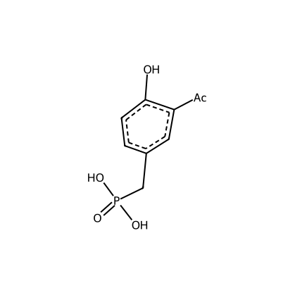 CC(=O)c1cc(CP(=O)(O)O)ccc1O